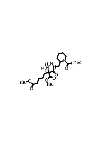 CCCCCCCCCCC(=O)N1CCCCC1CN(N)C(=O)C(N)(CCCCC(=O)OC(C)(C)C)C(=O)OC(C)(C)C